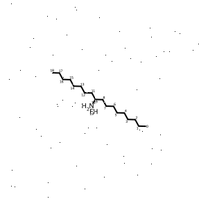 CCCCCCCCCC(N)CCCCCCCC.F